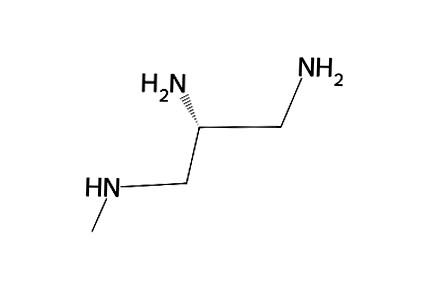 CNC[C@H](N)CN